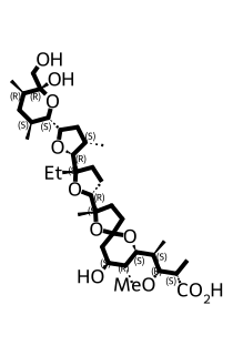 CC[C@@]1([C@@H]2OC([C@H]3O[C@@](O)(CO)[C@H](C)C[C@@H]3C)C[C@@H]2C)CC[C@H]([C@]2(C)CCC3(C[C@H](O)[C@@H](C)[C@@H]([C@@H](C)[C@@H](OC)[C@H](C)C(=O)O)O3)O2)O1